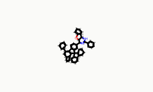 c1ccc(C2=NC(c3ccc4c(c3)C3(c5ccccc5-c5ccccc53)c3c-4c(-c4ccccc4)cc4ccccc34)C3Oc4ccccc4C3N2)cc1